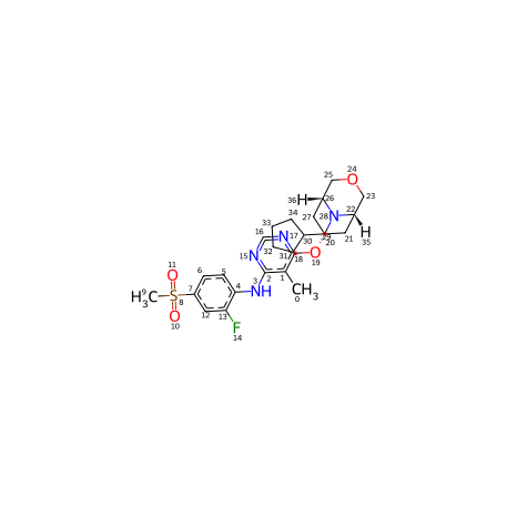 Cc1c(Nc2ccc(S(C)(=O)=O)cc2F)ncnc1O[C@H]1C[C@H]2COC[C@@H](C1)N2CC1CCCC1